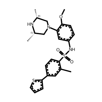 COc1ccc(NS(=O)(=O)c2ccc(-c3cccs3)cc2C)cc1N1C[C@@H](C)N[C@@H](C)C1